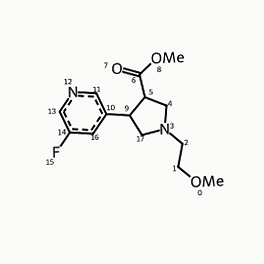 COCCN1CC(C(=O)OC)C(c2cncc(F)c2)C1